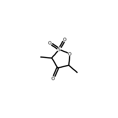 CC1OS(=O)(=O)C(C)C1=O